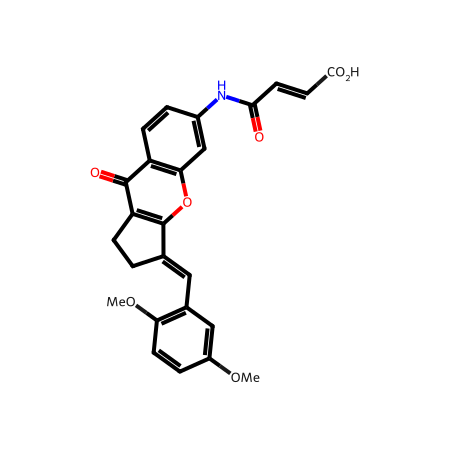 COc1ccc(OC)c(C=C2CCc3c2oc2cc(NC(=O)C=CC(=O)O)ccc2c3=O)c1